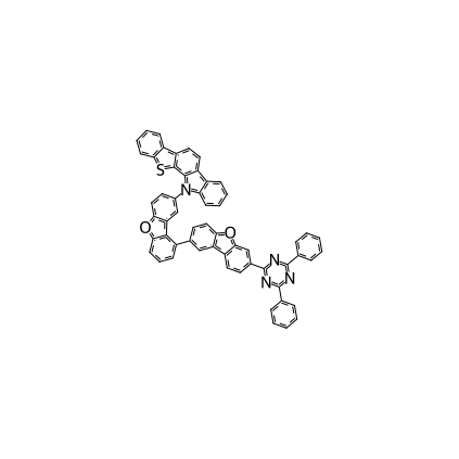 c1ccc(-c2nc(-c3ccccc3)nc(-c3ccc4c(c3)oc3ccc(-c5cccc6oc7ccc(-n8c9ccccc9c9ccc%10c%11ccccc%11sc%10c98)cc7c56)cc34)n2)cc1